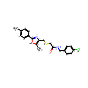 Cc1ccc(-c2nc(CSCC(=O)NCc3ccc(Cl)cc3)c(C)o2)cc1